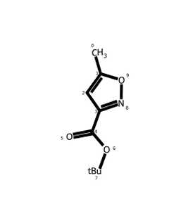 Cc1cc(C(=O)OC(C)(C)C)no1